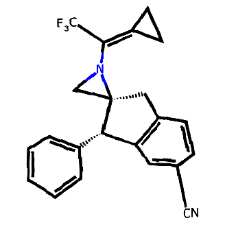 N#Cc1ccc2c(c1)[C@H](c1ccccc1)[C@@]1(C2)CN1C(=C1CC1)C(F)(F)F